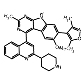 COc1cc2c(cc1-c1c(C)noc1C)[nH]c1nc(C)nc(-c3cc(C4CCNCC4)nc4ccccc34)c12